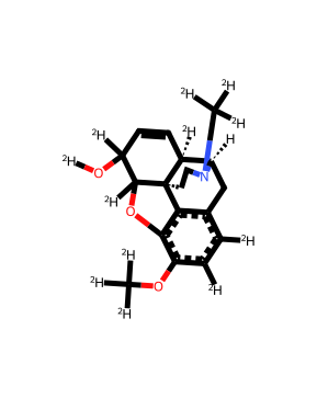 [2H]OC1([2H])C=C[C@@]2([2H])[C@H]3Cc4c([2H])c([2H])c(OC([2H])([2H])[2H])c5c4[C@@]2(CCN3C([2H])([2H])[2H])C1([2H])O5